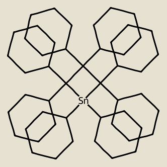 C1CCC(C2(C3CCCCC3)[C](C3CCCCC3)(C3CCCCC3)[Sn]([CH]3CCCCC3)([CH]3CCCCC3)[C]2(C2CCCCC2)C2CCCCC2)CC1